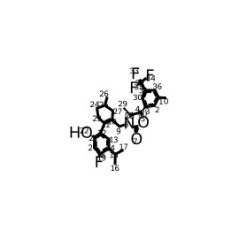 Cc1cc([C@H]2OC(=O)N(CC3=C(c4cc(C(C)C)c(F)cc4O)CCC(C)C3)[C@H]2C)cc(C(F)(F)F)c1